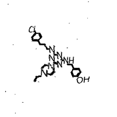 C=CCN1CCN(c2nc(NCCc3ccc(O)cc3)nc(N(C)CCCc3ccc(Cl)cc3)n2)CC1